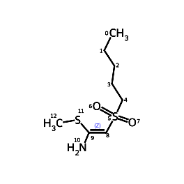 CCCCCS(=O)(=O)/C=C(/N)SC